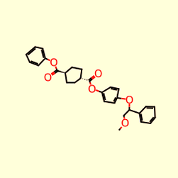 COCC(Oc1ccc(OC(=O)[C@H]2CC[C@H](C(=O)Oc3ccccc3)CC2)cc1)c1ccccc1